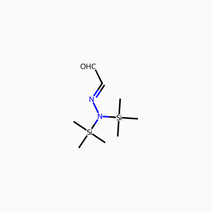 C[Si](C)(C)N(N=CC=O)[Si](C)(C)C